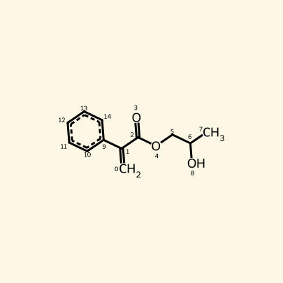 C=C(C(=O)OCC(C)O)c1ccccc1